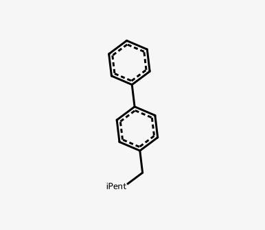 CCCC(C)Cc1ccc(-c2ccccc2)cc1